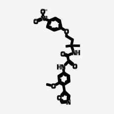 COc1cc(NC(=O)C(=O)NC(C)(C)CCOc2ccc([N+](=O)[O-])cc2)ccc1-c1cnco1